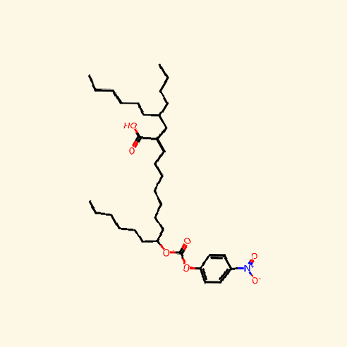 CCCCCCC(CCCC)CC(CCCCCCCC(CCCCCC)OC(=O)Oc1ccc([N+](=O)[O-])cc1)C(=O)O